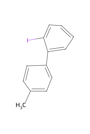 Cc1ccc(-c2ccccc2I)cc1